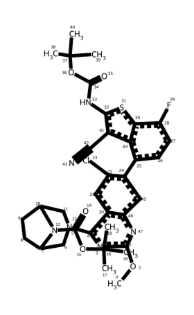 COc1nc(N2CC3CCC(C2)N3C(=O)OC(C)(C)C)c2cc(Cl)c(-c3ccc(F)c4sc(NC(=O)OC(C)(C)C)c(C#N)c34)cc2n1